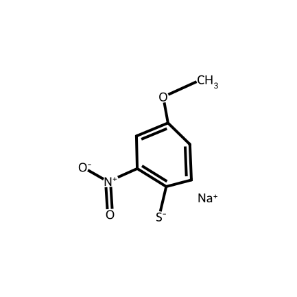 COc1ccc([S-])c([N+](=O)[O-])c1.[Na+]